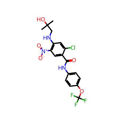 CC(C)(O)CNc1cc(Cl)c(C(=O)Nc2ccc(OC(F)(F)F)cc2)cc1[N+](=O)[O-]